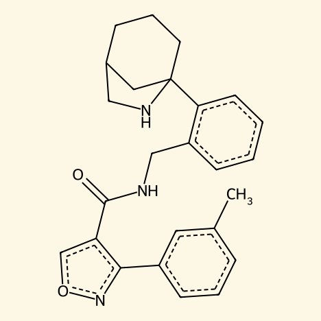 Cc1cccc(-c2nocc2C(=O)NCc2ccccc2C23CCCC(CN2)C3)c1